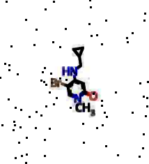 Cn1cc(Br)c(NCC2CC2)cc1=O